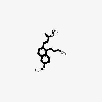 CCCCc1c(C=CC(=O)OC)ccc2cc(OC)ccc12